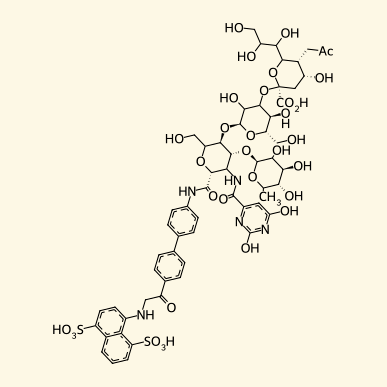 CC(=O)C[C@H]1C(C(O)C(O)CO)O[C@@](OC2C(O)[C@H](O[C@@H]3C(CO)O[C@@H](C(=O)Nc4ccc(-c5ccc(C(=O)CNc6ccc(S(=O)(=O)O)c7cccc(S(=O)(=O)O)c67)cc5)cc4)C(NC(=O)c4cc(O)nc(O)n4)[C@H]3O[C@@H]3OC(C)[C@@H](O)[C@H](O)C3O)O[C@@H](CO)[C@@H]2O)(C(=O)O)C[C@H]1O